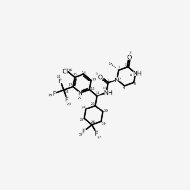 C[C@@H]1C(=O)NCCN1C(=O)N[C@H](c1ccc(Cl)c(C(F)(F)F)n1)C1CCC(F)(F)CC1